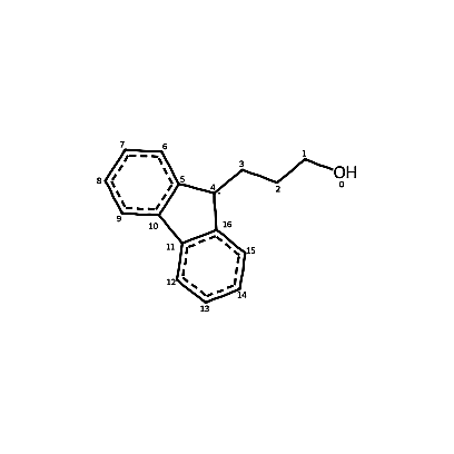 OCCC[C]1c2ccccc2-c2ccccc21